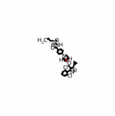 C=CCCS(=O)(=O)NC(=O)c1ccc(N2C[C@@H]3C[C@H]2C[C@H]3OCc2c(-c3c(Cl)cccc3Cl)noc2C2CC2)cc1